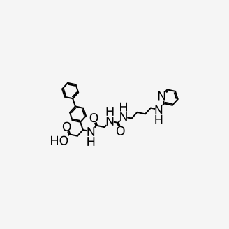 O=C(O)CC(NC(=O)CNC(=O)NCCCCNc1ccccn1)c1ccc(-c2ccccc2)cc1